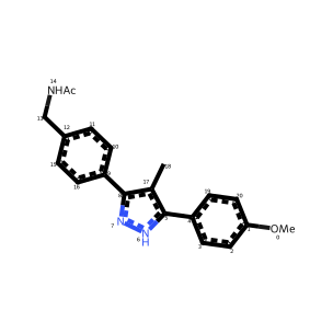 COc1ccc(-c2[nH]nc(-c3ccc(CNC(C)=O)cc3)c2C)cc1